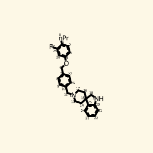 CCCc1ccc(OCc2ccc(CN3CCC4(CC3)CNc3ccccc34)cc2)cc1F